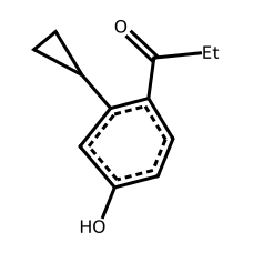 CCC(=O)c1ccc(O)cc1C1CC1